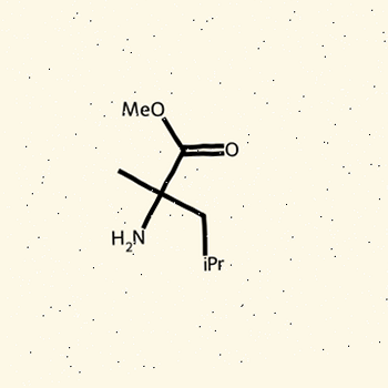 COC(=O)C(C)(N)CC(C)C